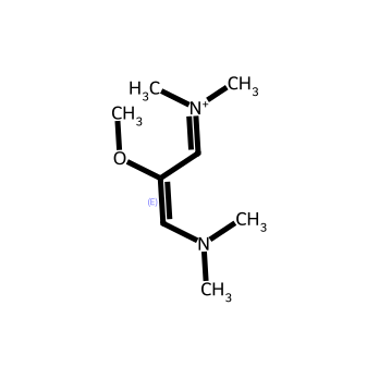 CO/C(C=[N+](C)C)=C/N(C)C